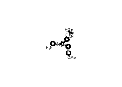 COC1CCN(c2cccc(-n3nc(NC[C@H]4CCC[C@H](N)C4)cc3-c3ccc(C#N)c(F)c3)c2)CC1.O=C(O)C(F)(F)F